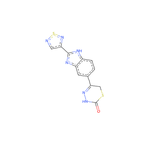 O=C1NN=C(c2ccc3[nH]c(-c4cnsn4)nc3c2)CS1